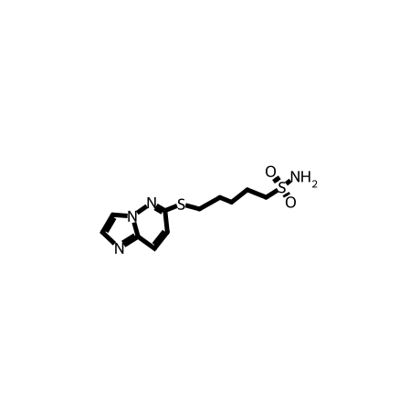 NS(=O)(=O)CCCCCSc1ccc2nccn2n1